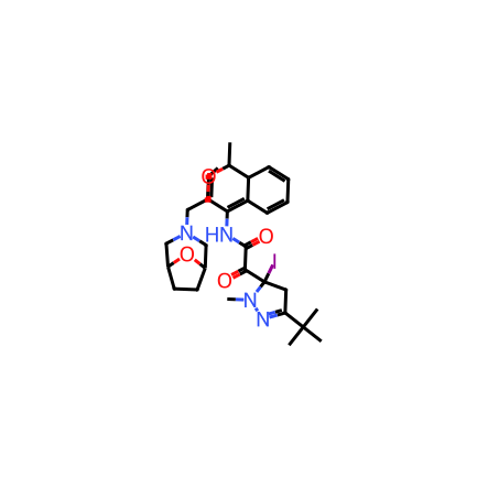 C/C=C\C(NC(=O)C(=O)C1(I)CC(C(C)(C)C)=NN1C)=C1\C=CC=CC1C(C)OCCN1CC2CCC(C1)O2